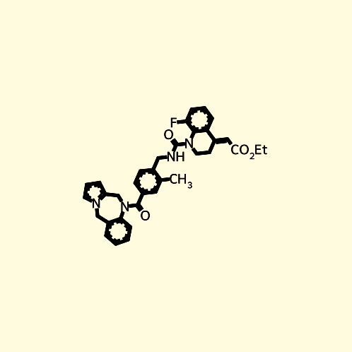 CCOC(=O)C=C1CCN(C(=O)NCc2ccc(C(=O)N3Cc4cccn4Cc4ccccc43)cc2C)c2c(F)cccc21